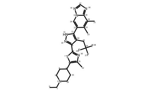 CCN1CCC(c2sc(-c3n[nH]c(-c4cn5ncnc5c(C)c4C)c3CC(F)(F)F)nc2C)CC1